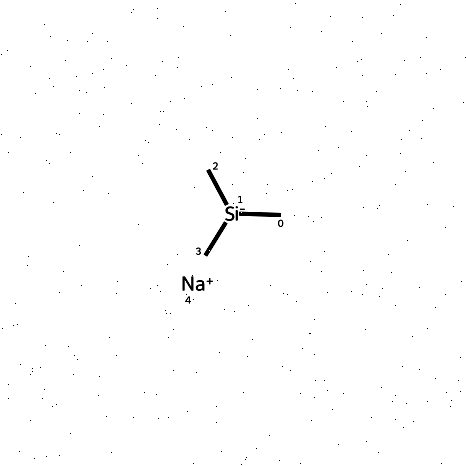 C[Si-](C)C.[Na+]